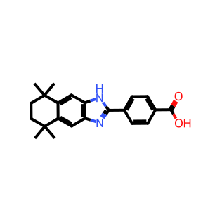 CC1(C)CCC(C)(C)c2cc3[nH]c(-c4ccc(C(=O)O)cc4)nc3cc21